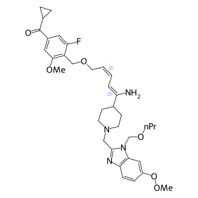 CCCOCn1c(CN2CCC(/C(N)=C/C=C\COCc3c(F)cc(C(=O)C4CC4)cc3OC)CC2)nc2ccc(OOC)cc21